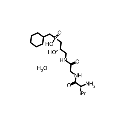 CC(C)[C@H](N)C(=O)NCC(=O)NC[C@H](O)CP(=O)(O)CC1CCCCC1.O